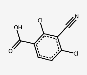 N#Cc1c(Cl)ccc(C(=O)O)c1Cl